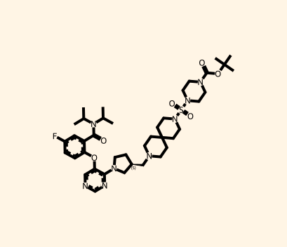 CC(C)N(C(=O)c1cc(F)ccc1Oc1cncnc1N1CC[C@@H](CN2CCC3(CC2)CCN(S(=O)(=O)N2CCN(C(=O)OC(C)(C)C)CC2)CC3)C1)C(C)C